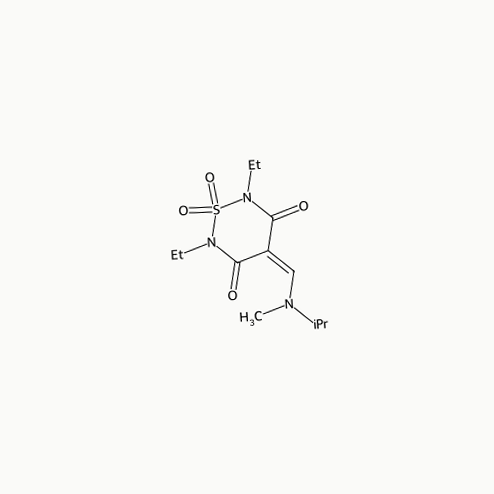 CCN1C(=O)C(=CN(C)C(C)C)C(=O)N(CC)S1(=O)=O